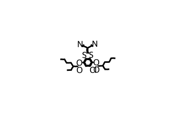 CCCCC(CC)C(=O)Oc1cc(Cl)c(OC(=O)C(CC)CCCC)c2c1SC(=C(C#N)C#N)S2